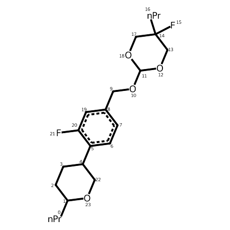 CCCC1CCC(c2ccc(COC3OCC(F)(CCC)CO3)cc2F)CO1